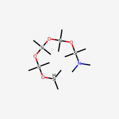 CN(C)[Si](C)(C)O[Si](C)(C)O[Si](C)(C)O[Si](C)(C)O[SiH](C)C